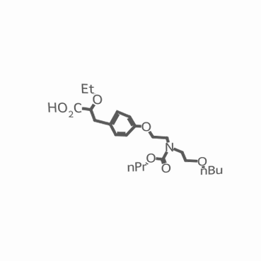 CCCCOCCN(CCOc1ccc(CC(OCC)C(=O)O)cc1)C(=O)OCCC